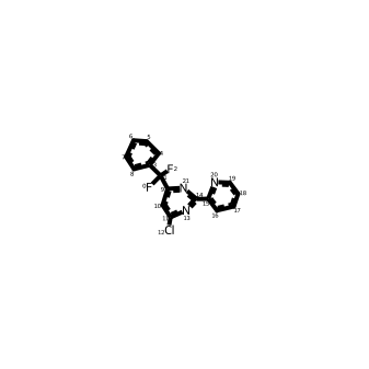 FC(F)(c1ccccc1)c1cc(Cl)nc(-c2ccccn2)n1